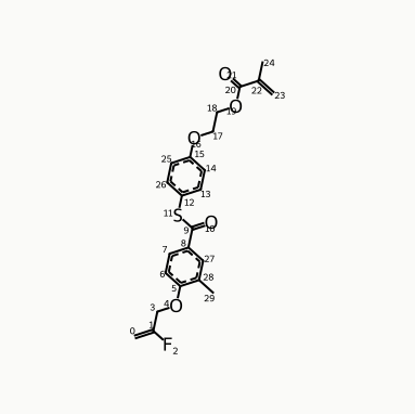 C=C(F)COc1ccc(C(=O)Sc2ccc(OCCOC(=O)C(=C)C)cc2)cc1C